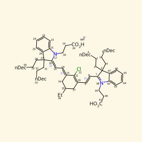 CCCCCCCCCCCCC1(CCCCCCCCCCCC)C(/C=C/C2=C(Cl)C(=C/C=C3\N(CCC(=O)O)c4ccccc4C3(CCCCCCCCCCCC)CCCCCCCCCCCC)/CC(CC)C2)=[N+](CCC(=O)O)c2ccccc21.[I-]